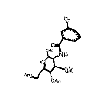 CC(=O)OCC1OC(OC(C)=O)[C@@H](NC(=O)c2cccc(O)c2)[C@@H](OC(C)=O)[C@@H]1OC(C)=O